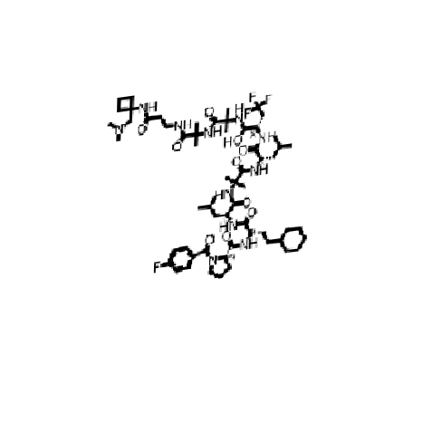 CC(C)C[C@H](NC(=O)[C@H](CCC1CCCCC1)NC(=O)[C@@H]1CCCN1C(=O)c1ccc(F)cc1)C(=O)NC(C)(C)C(=O)N[C@@H](CC(C)C)C(=O)N[C@@H](CC(F)(F)F)C(O)NC(C)(C)C(=O)NC(C)(C)C(=O)NCCC(=O)NC1(CN(C)C)CCC1